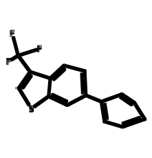 FC(F)(F)c1[c]sc2cc(-c3ccccc3)ccc12